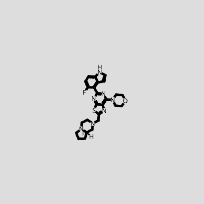 Fc1ccc2[nH]ccc2c1-c1nc(N2CCOCC2)c2nc(CN3CCN4CCC[C@H]4C3)sc2n1